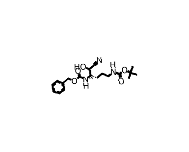 CC(C)(C)OC(=O)NCCC[C@H](NC(=O)OCc1ccccc1)C(O)C#N